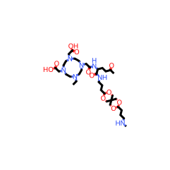 CCN1CCN(CC(=O)O)CCN(CC(=O)O)CCN(CC(=O)NC(CCC(C)=O)C(=O)NCCCC2OCC3(COC(CCCNC)OC3)CO2)CC1